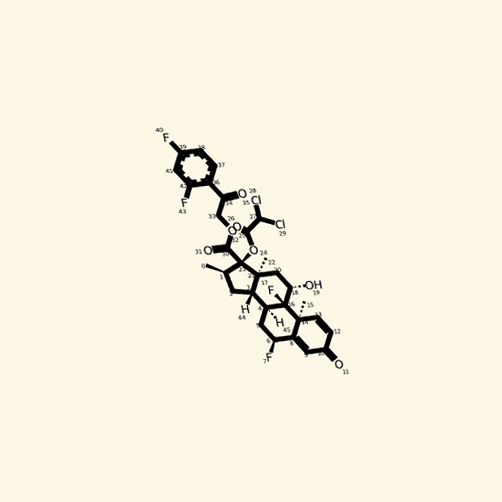 C[C@@H]1C[C@H]2[C@@H]3C[C@H](F)C4=CC(=O)C=C[C@]4(C)[C@@]3(F)[C@@H](O)C[C@]2(C)[C@@]1(OC(=O)C(Cl)Cl)C(=O)OCC(=O)c1ccc(F)cc1F